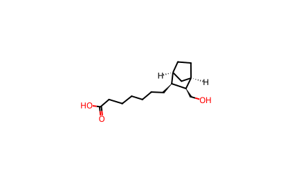 O=C(O)CCCCCC[C@H]1[C@H]2CC[C@H](C2)[C@H]1CO